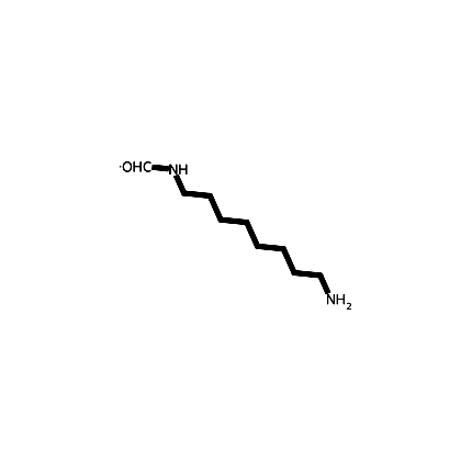 NCCCCCCCCN[C]=O